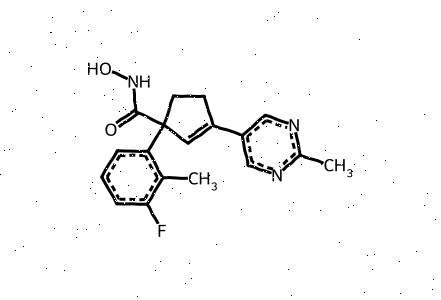 Cc1ncc(C2=CC(C(=O)NO)(c3cccc(F)c3C)CC2)cn1